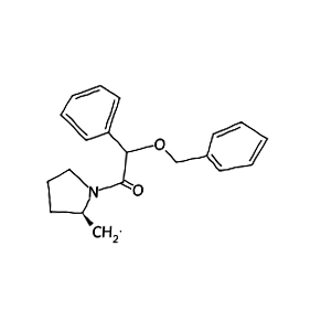 [CH2][C@H]1CCCN1C(=O)C(OCc1ccccc1)c1ccccc1